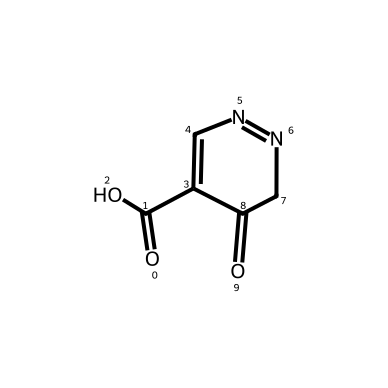 O=C(O)C1=CN=NCC1=O